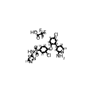 Nc1cc(-c2cc(Cl)ccc2Oc2ccc(S(=O)(=O)Nc3nncs3)cc2Cl)ccn1.O=C(O)C(F)(F)F